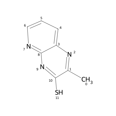 Cc1nc2cccnc2nc1S